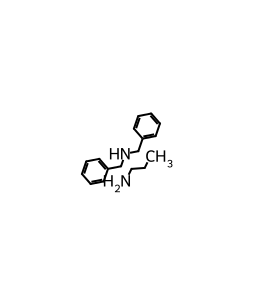 CCCN.c1ccc(CNCc2ccccc2)cc1